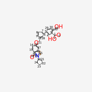 O=C(O)c1cc(-c2cccc(COc3ccc4c(=O)n(C5CCCC5)sc4c3)c2)ccc1CO